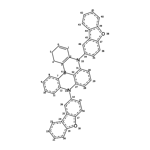 C1=CC2=C(CC1)B1c3ccccc3N(c3ccc4oc5ccccc5c4c3)c3cccc(c31)N2c1ccc2oc3ccccc3c2c1